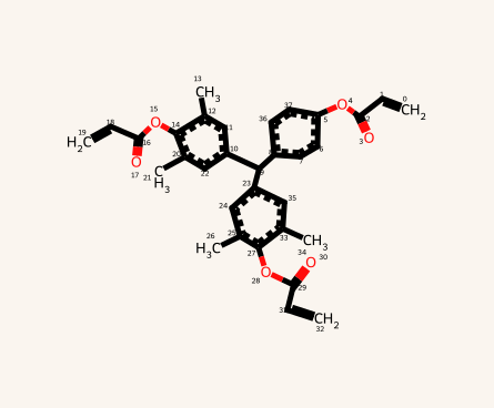 C=CC(=O)Oc1ccc(C(c2cc(C)c(OC(=O)C=C)c(C)c2)c2cc(C)c(OC(=O)C=C)c(C)c2)cc1